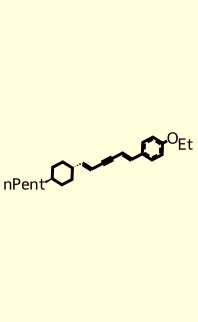 CCCCC[C@H]1CC[C@H](/C=C/C#C/C=C/c2ccc(OCC)cc2)CC1